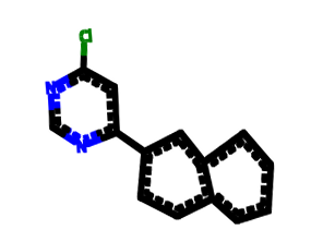 Clc1cc(-c2ccc3ccccc3c2)ncn1